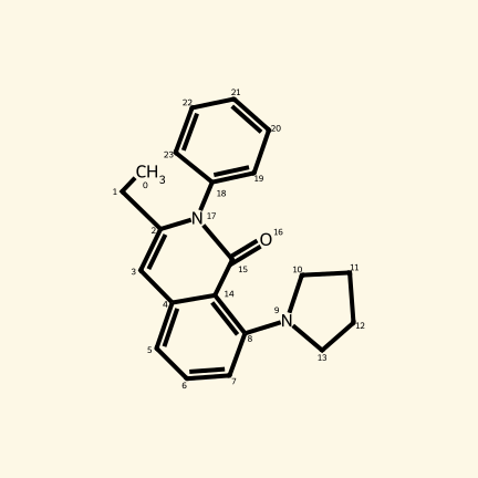 CCc1cc2cccc(N3CCCC3)c2c(=O)n1-c1ccccc1